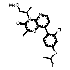 COC[C@@H](C)n1c(=O)c(C)nc2c(-c3ccc(OC(F)F)cc3Cl)ccnc21